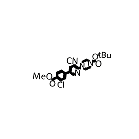 COC(=O)c1ccc(-c2cnc(N3CCN(C(=O)OC(C)(C)C)CC3)c(C#N)c2)cc1Cl